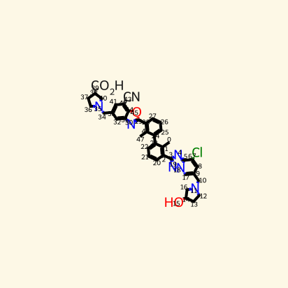 Cc1c(-c2nc3c(Cl)cc(CN4CCC(O)C4)cn3n2)cccc1-c1cccc(-c2nc3cc(CN4CC[C@@H](C(=O)O)C4)cc(C#N)c3o2)c1C